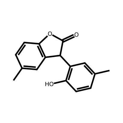 Cc1ccc(O)c(C2C(=O)Oc3ccc(C)cc32)c1